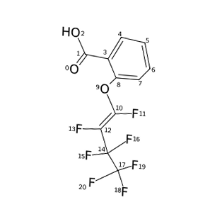 O=C(O)c1ccccc1OC(F)=C(F)C(F)(F)C(F)(F)F